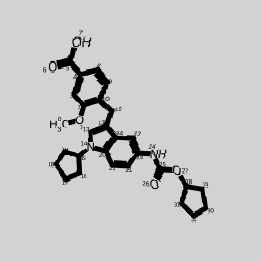 COc1cc(C(=O)O)ccc1Cc1cn(C2CCCC2)c2ccc(NC(=O)OC3CCCC3)cc12